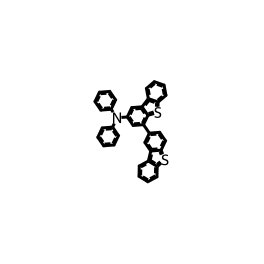 c1ccc(N(c2ccccc2)c2cc(-c3ccc4sc5ccccc5c4c3)c3sc4ccccc4c3c2)cc1